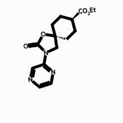 CCOC(=O)[C@H]1CC[C@]2(CC1)CN(c1cnccn1)C(=O)O2